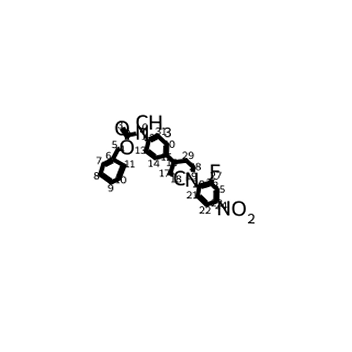 CN(C(=O)OCc1ccccc1)c1ccc(C2CCN(c3ccc([N+](=O)[O-])cc3F)CC2)cc1